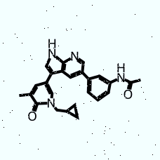 CC(=O)Nc1cccc(-c2cnc3[nH]cc(-c4cc(C)c(=O)n(CC5CC5)c4)c3c2)c1